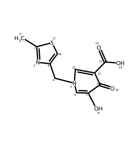 Cc1nc(Cn2cc(O)c(=O)c(C(=O)O)c2)cs1